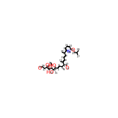 CC(=O)O[C@@H](/C=C/[C@H](C)[C@H](C=O)/C(C)=C/C=C/C(C)c1cccc(OCC(C)C)n1)[C@@](C)(O)CC[C@H](O)CC=O